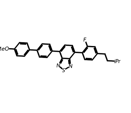 COc1ccc(-c2ccc(-c3ccc(-c4ccc(CCC(C)C)cc4F)c4nsnc34)cc2)cc1